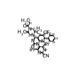 C=CC(=O)N1C[C@H](C)N(c2nc(=O)n(-c3c(C(C)C)nc(C#N)nc3C(C)C)c3nc(-c4ccccc4F)c(Cl)cc23)C[C@H]1C